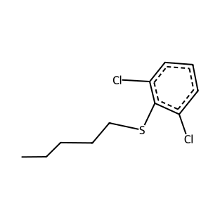 CCCCCSc1c(Cl)cccc1Cl